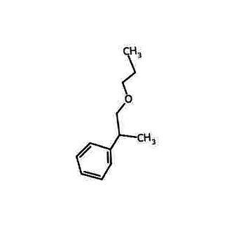 CCCOCC(C)c1ccccc1